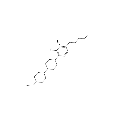 CCCCCc1ccc(C2CCC(C3CCC(CC)CC3)CC2)c(F)c1F